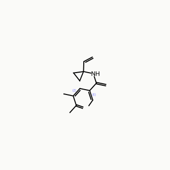 C=CC1(NC(=C)C(/C=C(/C)C(=C)C)=C/C)CC1